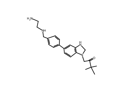 CC(C)(C)C(=O)CN1CNc2cc(-c3ccc(CNCCN)cc3)ccc21